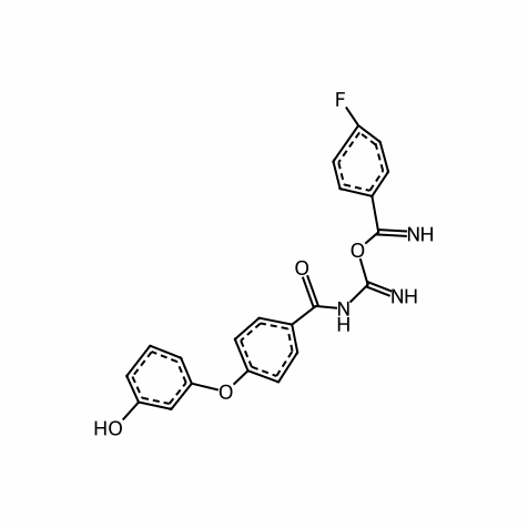 N=C(NC(=O)c1ccc(Oc2cccc(O)c2)cc1)OC(=N)c1ccc(F)cc1